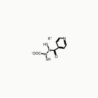 O=C([O-])N(S)N(S)C(=O)c1ccncc1.[K+]